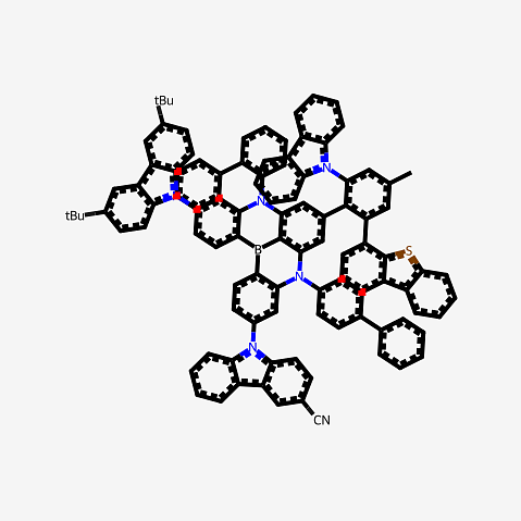 Cc1cc(-c2cccc3c2sc2ccccc23)c(-c2cc3c4c(c2)N(c2ccccc2-c2ccccc2)c2cc(-n5c6ccc(C(C)(C)C)cc6c6cc(C(C)(C)C)ccc65)ccc2B4c2ccc(-n4c5ccccc5c5cc(C#N)ccc54)cc2N3c2ccc(-c3ccccc3)cc2)c(-n2c3ccccc3c3ccccc32)c1